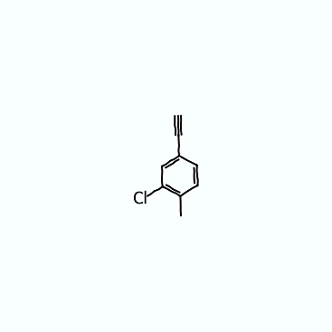 C#Cc1ccc(C)c(Cl)c1